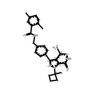 Cc1ccc(C)c(C(=O)NCc2ccc(-c3nn(C4(C)CCC4)c4c(=O)[nH]nc(N)c34)cc2)c1